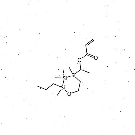 C=CC(=O)OC(C)[Si]1(C)CCO[Si](C)(CCC)[Si]1(C)C